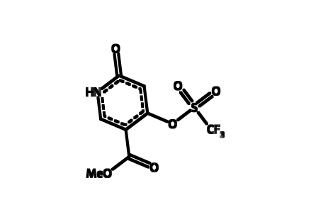 COC(=O)c1c[nH]c(=O)cc1OS(=O)(=O)C(F)(F)F